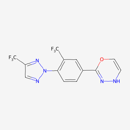 FC(F)(F)c1cnn(-c2ccc(C3=NNC=CO3)cc2C(F)(F)F)n1